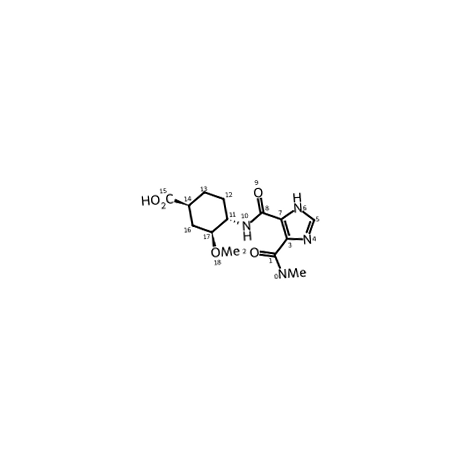 CNC(=O)c1nc[nH]c1C(=O)N[C@H]1CC[C@H](C(=O)O)C[C@@H]1OC